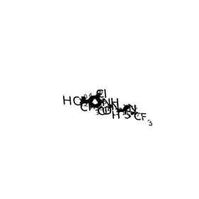 C[C@](O)(c1cc(Cl)c(NC(=O)NCc2cnc(C(F)(F)F)s2)c(Cl)c1)C(F)(F)F